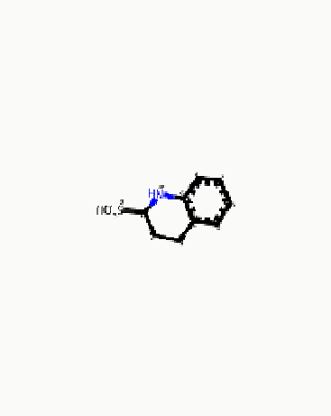 O=S(=O)(O)C1CCc2ccccc2N1